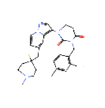 COc1cc(C)ccc1CN1C(=O)CCN(c2cnn3ccc(CC4(F)CCN(Br)CC4)cc23)C1=O